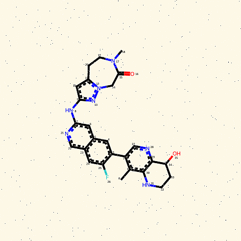 Cc1c(-c2cc3cc(Nc4cc5n(n4)CC(=O)N(C)CC5)ncc3cc2F)cnc2c1NCCC2O